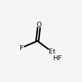 CCC(=O)F.F